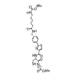 COC(=O)CNC(=O)C(CS)NC(=O)c1csc(-c2ccc(CNC(=O)CCCCCNC(=O)OC(C)(C)C)cc2)n1